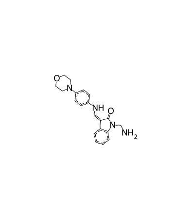 NCN1C(=O)C(=CNc2ccc(N3CCOCC3)cc2)c2ccccc21